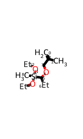 C=C(C)COC(CC)[Si](C)(OCC)OCC